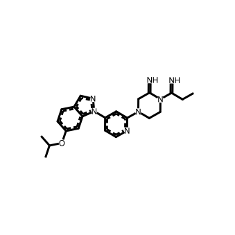 CCC(=N)N1CCN(c2cc(-n3ncc4ccc(OC(C)C)cc43)ccn2)CC1=N